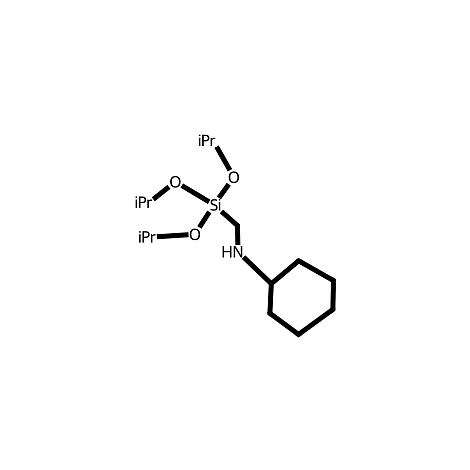 CC(C)O[Si](CNC1CCCCC1)(OC(C)C)OC(C)C